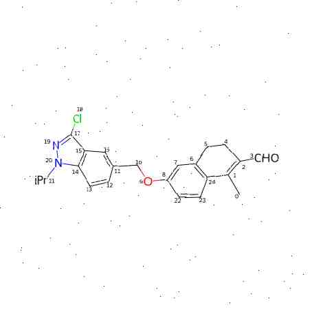 CC1=C(C=O)CCc2cc(OCc3ccc4c(c3)c(Cl)nn4C(C)C)ccc21